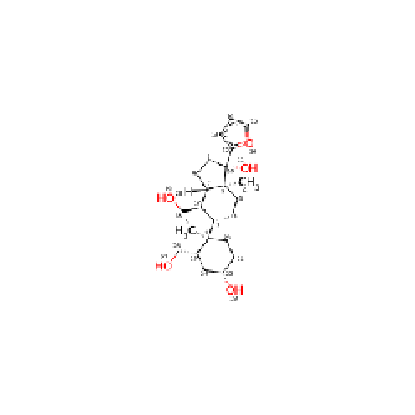 C[C@]1([C@H]2CC[C@@]3(C)[C@@H](CC[C@@]3(O)c3ccco3)[C@@H]2CO)CC[C@H](O)C[C@@H]1CO